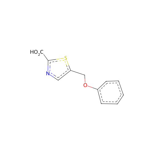 O=C(O)c1ncc(COc2ccccc2)s1